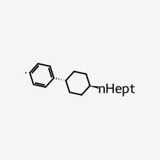 CCCCCCC[C@H]1CC[C@H](c2cc[c]cc2)CC1